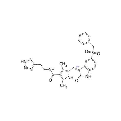 Cc1[nH]c(/C=C2\C(=O)Nc3ccc(S(=O)(=O)Cc4ccccc4)cc32)c(C)c1C(=O)NCCc1nn[nH]n1